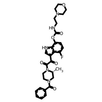 C[C@@H]1CN(C(=O)c2ccccc2)CCN1C(=O)C(=O)c1c[nH]c2c(OC(=O)NCCN3CCOCC3)ccc(F)c12